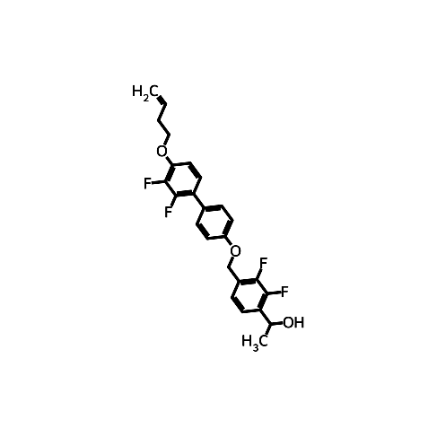 C=CCCOc1ccc(-c2ccc(OCc3ccc(C(C)O)c(F)c3F)cc2)c(F)c1F